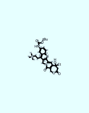 CCC1(O)CC(=O)OCc2c1cc1n(c2=O)Cc2c-1nc1ccc(NC(=O)OC(C)(C)C)cc1c2CC[Si](C)(C)C